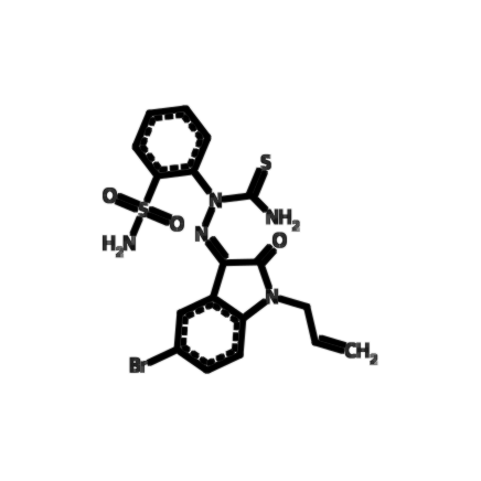 C=CCN1C(=O)/C(=N\N(C(N)=S)c2ccccc2S(N)(=O)=O)c2cc(Br)ccc21